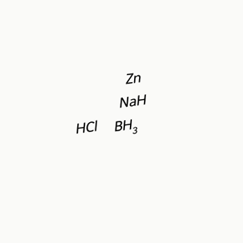 B.Cl.[NaH].[Zn]